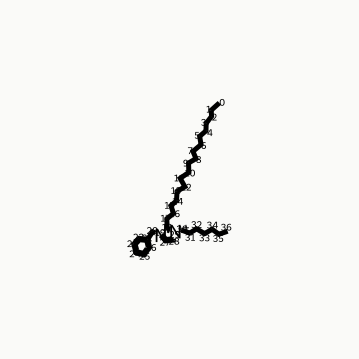 CCCCCCCCCCCCCCCCCCc1n(Cc2ccccc2)cc[n+]1CCCCCCC